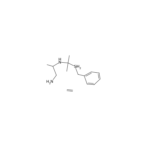 C=C.CC(CN)NC(C)(C)[SiH2]Cc1ccccc1